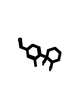 CC1=CC(C=O)CC=C1C1(I)CCCCC1F